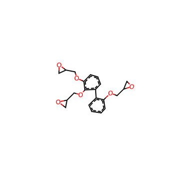 c1ccc(-c2cccc(OCC3CO3)c2OCC2CO2)c(OCC2CO2)c1